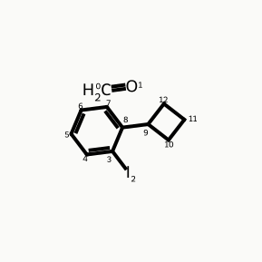 C=O.Ic1ccccc1C1CCC1